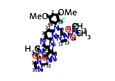 COc1cc(OC)c(F)c(N(Cc2nccn2S(=O)(=O)N(C)C)c2ccc3ncc(-c4cnn(Cc5nccn5S(=O)(=O)N(C)C)c4)nc3n2)c1